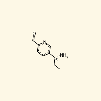 CC[C@@H](N)c1ccc(C=O)nc1